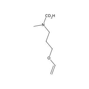 C=COCCCN(C)C(=O)O